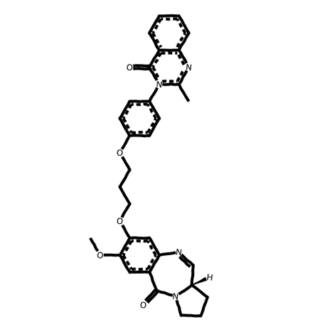 COc1cc2c(cc1OCCCOc1ccc(-n3c(C)nc4ccccc4c3=O)cc1)N=C[C@@H]1CCCN1C2=O